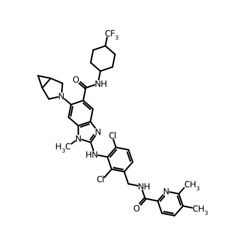 Cc1ccc(C(=O)NCc2ccc(Cl)c(Nc3nc4cc(C(=O)NC5CCC(C(F)(F)F)CC5)c(N5CC6CC6C5)cc4n3C)c2Cl)nc1C